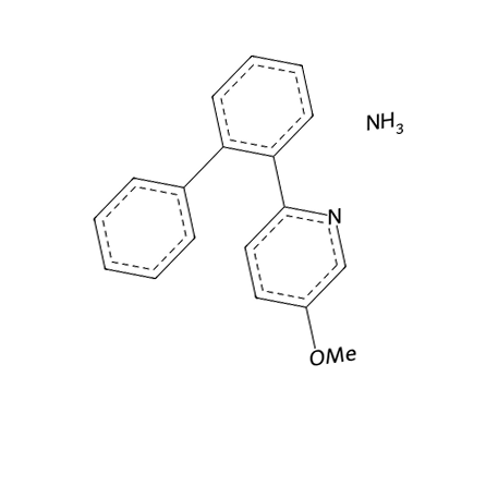 COc1ccc(-c2ccccc2-c2ccccc2)nc1.N